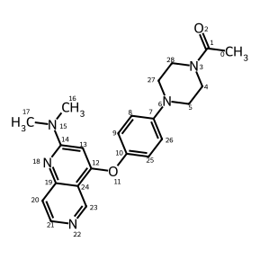 CC(=O)N1CCN(c2ccc(Oc3cc(N(C)C)nc4ccncc34)cc2)CC1